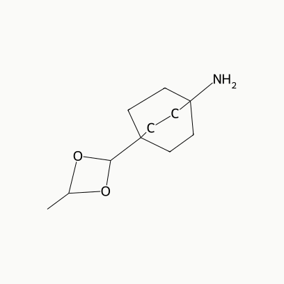 CC1OC(C23CCC(N)(CC2)CC3)O1